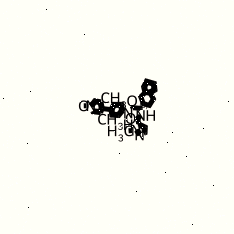 Cc1c[n+]([O-])cc(C)c1-c1ccc(NC(=O)C(NC(=O)c2ccnn2C)[C@H]2CCc3ccccc3C2)cc1